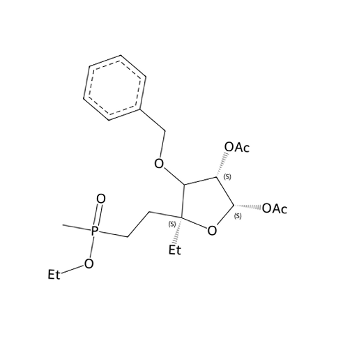 CCOP(C)(=O)CC[C@]1(CC)O[C@@H](OC(C)=O)[C@@H](OC(C)=O)C1OCc1ccccc1